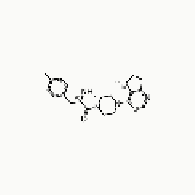 Cc1ccc(C[C@@H](N)C(=O)N2CCN(c3ncnc4c3[C@H](C)CC4)CC2)cc1